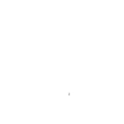 CC(C)C1=CC(c2ccccc2)=CC1